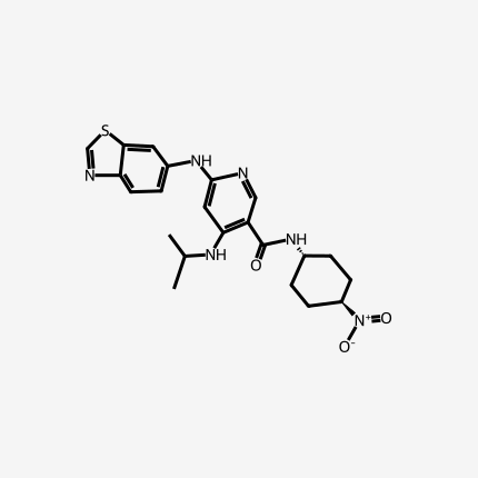 CC(C)Nc1cc(Nc2ccc3ncsc3c2)ncc1C(=O)N[C@H]1CC[C@H]([N+](=O)[O-])CC1